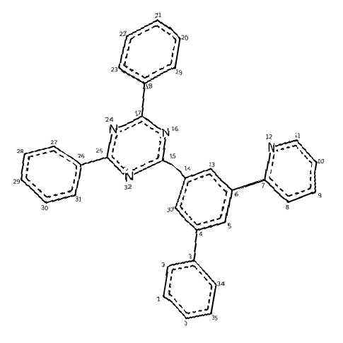 c1ccc(-c2cc(-c3ccccn3)cc(-c3nc(-c4ccccc4)nc(-c4ccccc4)n3)c2)cc1